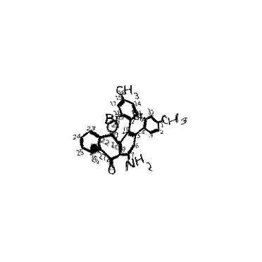 Cc1ccc(-c2cc(N)c3c(c2-c2ccc(C)cc2Br)C(=O)c2ccccc2C3=O)c(Br)c1